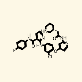 O=C(C[C@H]1CCCNC1)Nc1cc(Oc2ccc(Nc3ncccc3C(=O)Nc3ccc(F)cc3)cc2Cl)ccn1